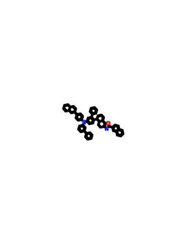 C1=CC2C=CC(c3ccc(N(c4cccc(-c5ccccc5)c4)c4ccc(C5C=CC=C6c7oc(-c8ccc9ccccc9c8)nc7CCC65)c(-c5ccccc5)c4)cc3)=CC2C=C1